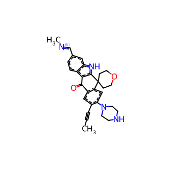 CC#Cc1cc2c(cc1N1CCNCC1)C1(CCOCC1)c1[nH]c3cc(/C=N/C)ccc3c1C2=O